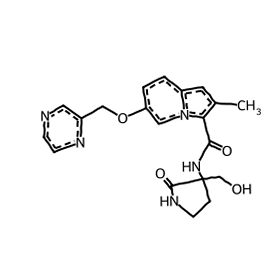 Cc1cc2ccc(OCc3cnccn3)cn2c1C(=O)NC1(CO)CCNC1=O